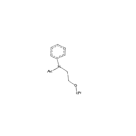 CCCOCCN(C(C)=O)c1ccccc1